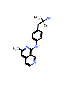 CC[C@](N)(Cc1ccc(Nc2nc(C)cc3ccncc23)cc1)C(=O)O